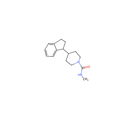 CNC(=O)N1CCC(C2CCc3ccccc32)CC1